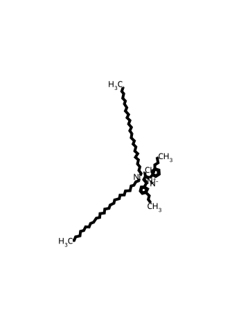 CCCCCCCCCCCCCCCCCCCCCCCCCCC[CH2][Ni][CH2]CCCCCCCCCCCCCCCCCCCCCCCCCCC.CCCCc1cccc(C2=CC(CC)=C(c3cccc(CCCC)c3)[N+]2=[N-])c1